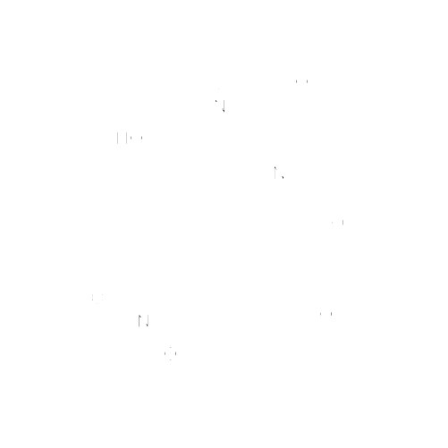 COC(=O)c1cc([N+](=O)[O-])cc2c(O)nc(O)nc12